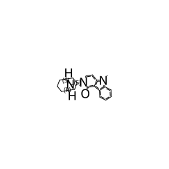 CN1[C@@H]2CCC[C@H]1C[C@H](n1ccc3c(c1=O)c1ccccc1n3C)C2